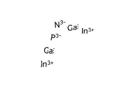 [Ga].[Ga].[In+3].[In+3].[N-3].[P-3]